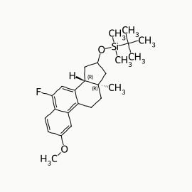 COc1ccc2c(F)cc3c(c2c1)CC[C@]1(C)CC(O[Si](C)(C)C(C)(C)C)C[C@@H]31